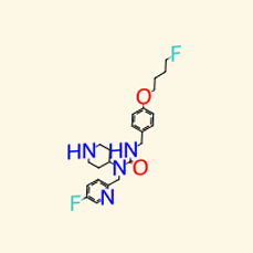 O=C(NCc1ccc(OCCCCF)cc1)N(Cc1ccc(F)cn1)C1CCNCC1